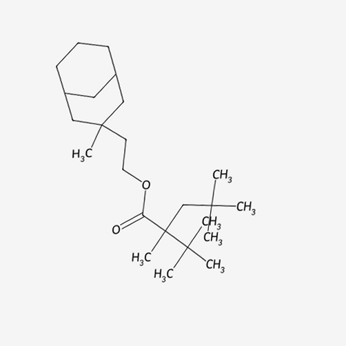 CC(C)(C)CC(C)(C(=O)OCCC1(C)CC2CCCC(C2)C1)C(C)(C)C